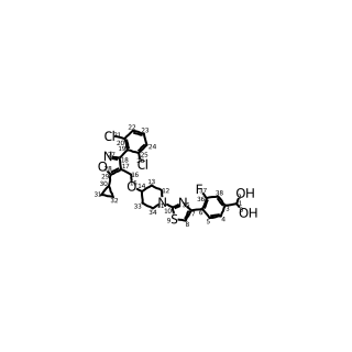 OC(O)c1ccc(-c2csc(N3CCC(OCc4c(-c5c(Cl)cccc5Cl)noc4C4CC4)CC3)n2)c(F)c1